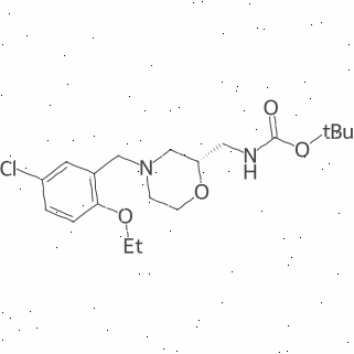 CCOc1ccc(Cl)cc1CN1CCO[C@@H](CNC(=O)OC(C)(C)C)C1